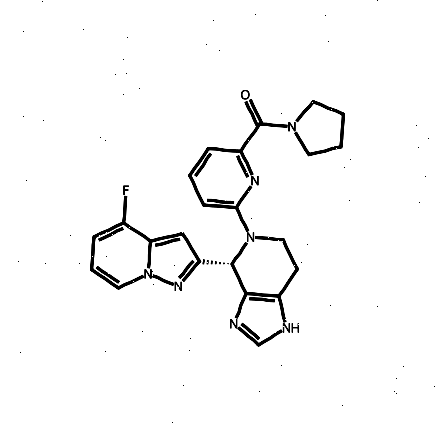 O=C(c1cccc(N2CCc3[nH]cnc3[C@@H]2c2cc3c(F)cccn3n2)n1)N1CCCC1